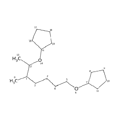 CC(C[CH]CCOC1CCCC1)C(C)OC1CCCC1